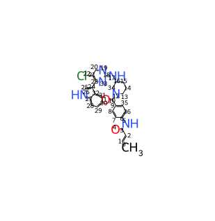 C/C=C/C(=O)Nc1ccc(C(=O)N2CCC[C@@H](Nc3ncc(Cl)c(-c4c[nH]c5ccccc45)n3)C2)cc1